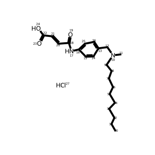 CCCCCCCCCCN(C)Cc1ccc(NC(=O)C=CC(=O)O)cc1.Cl